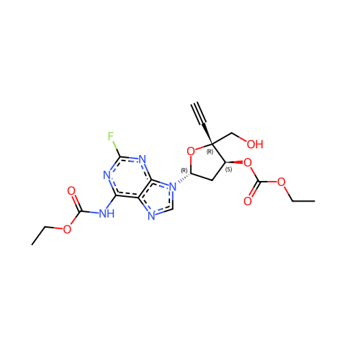 C#C[C@]1(CO)O[C@@H](n2cnc3c(NC(=O)OCC)nc(F)nc32)C[C@@H]1OC(=O)OCC